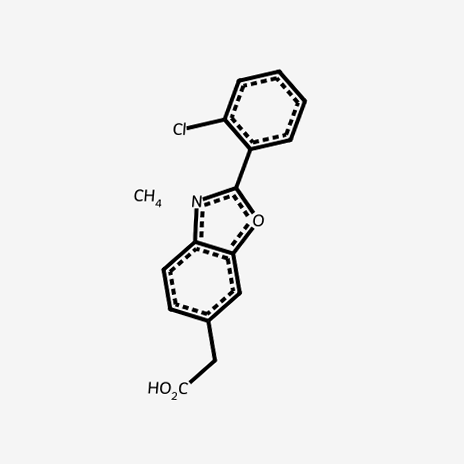 C.O=C(O)Cc1ccc2nc(-c3ccccc3Cl)oc2c1